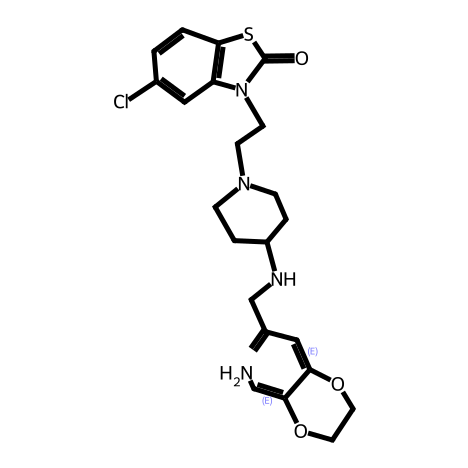 C=C(/C=C1/OCCO/C1=C/N)CNC1CCN(CCn2c(=O)sc3ccc(Cl)cc32)CC1